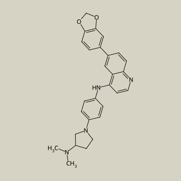 CN(C)C1CCN(c2ccc(Nc3ccnc4ccc(-c5ccc6c(c5)OCO6)cc34)cc2)C1